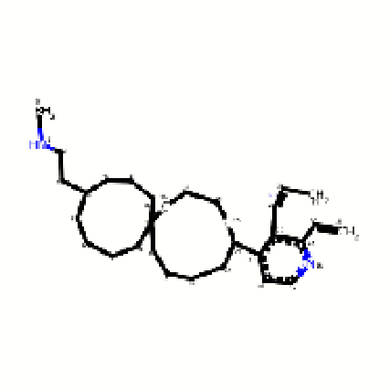 BNCCC1CCCCC2(CCCCC(c3ccnc(C=C)c3/C=C\C)CCCC2)CCC1